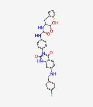 O=C(Nc1ccc(-n2c(=O)[nH]c3cc(NCc4ccc(F)cc4)ccc3c2=O)cc1)NC(Cc1cccs1)C(=O)O